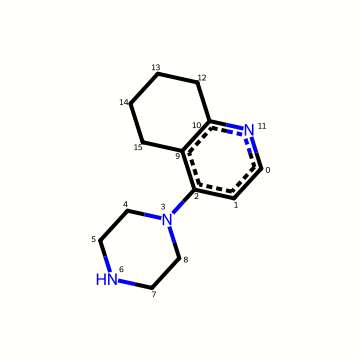 c1cc(N2CCNCC2)c2c(n1)CCCC2